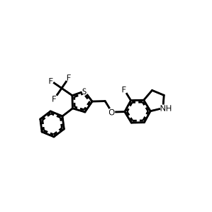 Fc1c(OCc2cc(-c3ccccc3)c(C(F)(F)F)s2)ccc2c1CCN2